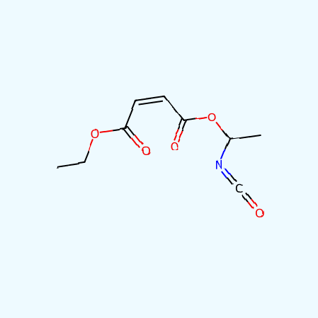 CCOC(=O)/C=C\C(=O)OC(C)N=C=O